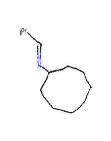 CC(C)/C=N/C1CCCCCCC1